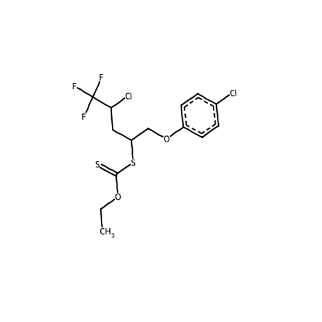 CCOC(=S)SC(COc1ccc(Cl)cc1)CC(Cl)C(F)(F)F